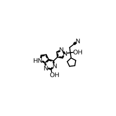 N#CCC(O)(C1CCCC1)n1cc(-c2nc(O)nc3[nH]ccc23)cn1